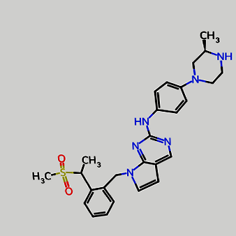 CC(c1ccccc1Cn1ccc2cnc(Nc3ccc(N4CCN[C@H](C)C4)cc3)nc21)S(C)(=O)=O